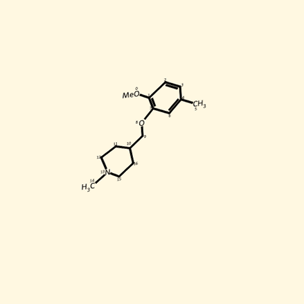 COc1ccc(C)cc1OCC1CCN(C)CC1